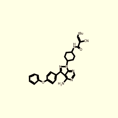 CC(C)(C)C=C(C#N)C(=O)NC1CCC(n2nc(-c3ccc(Oc4ccccc4)cc3)c3c(N)ncnc32)CC1